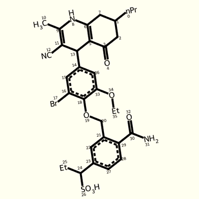 CCCC1CC(=O)C2=C(C1)NC(C)=C(C#N)C2c1cc(Br)c(OCc2cc(C(CC)S(=O)(=O)O)ccc2C(N)=O)c(OCC)c1